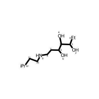 CCC(O)C(O)C(O)CCNCCC(C)C